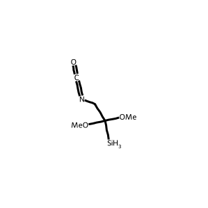 COC([SiH3])(CN=C=O)OC